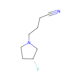 N#CCCCN1CC[C@@H](F)C1